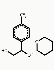 OCC(O[C@H]1CCCCO1)c1ccc(C(F)(F)F)cc1